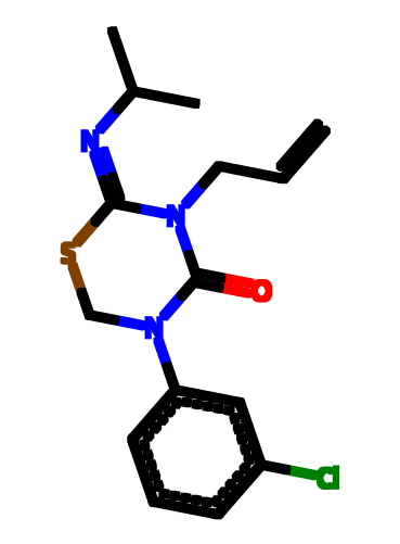 C=CCN1C(=O)N(c2cccc(Cl)c2)CSC1=NC(C)C